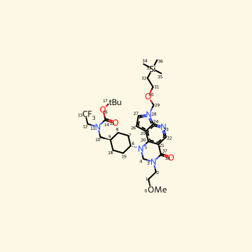 COCCN1CN([C@H]2CC[C@H](CN(CC(F)(F)F)C(=O)OC(C)(C)C)CC2)c2c(cnc3c2ccn3COCC[Si](C)(C)C)C1=O